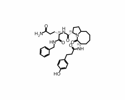 NC(=O)CC[C@H](NC(=O)[C@@H]1CCC2CCCC[C@H](NC(=O)CCc3ccc(O)cc3)C(=O)N21)C(=O)NCc1ccccc1